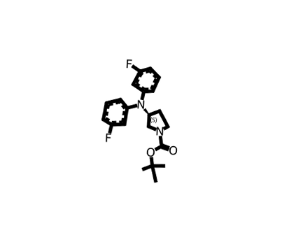 CC(C)(C)OC(=O)N1CC[C@H](N(c2cccc(F)c2)c2cccc(F)c2)C1